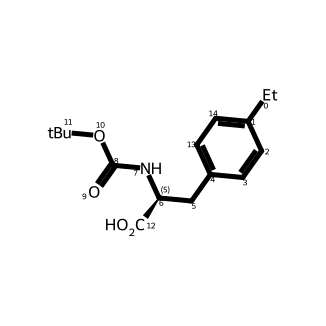 CCc1ccc(C[C@H](NC(=O)OC(C)(C)C)C(=O)O)cc1